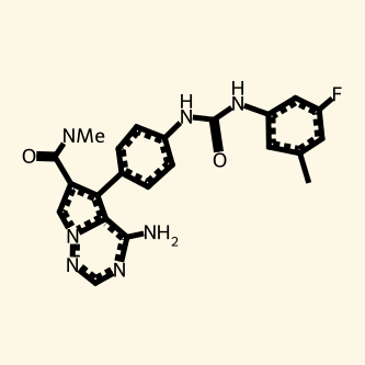 CNC(=O)c1cn2ncnc(N)c2c1-c1ccc(NC(=O)Nc2cc(C)cc(F)c2)cc1